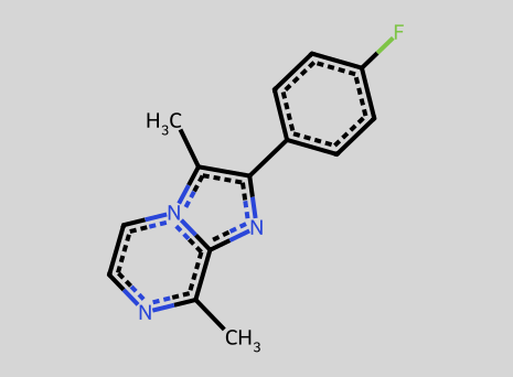 Cc1nccn2c(C)c(-c3ccc(F)cc3)nc12